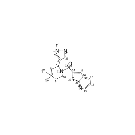 Cn1cc(C2CC(F)(F)CCN2C(=O)c2cc3cccnc3s2)cn1